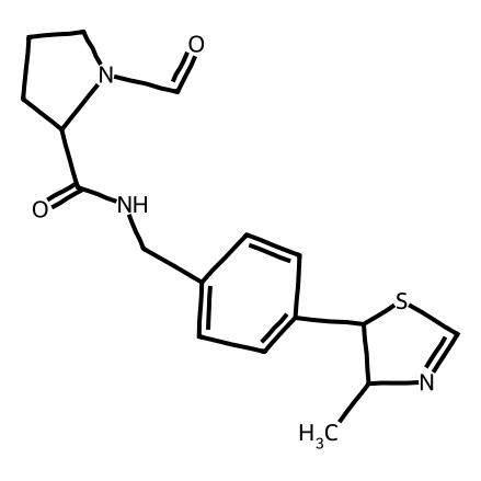 CC1N=CSC1c1ccc(CNC(=O)C2CCCN2C=O)cc1